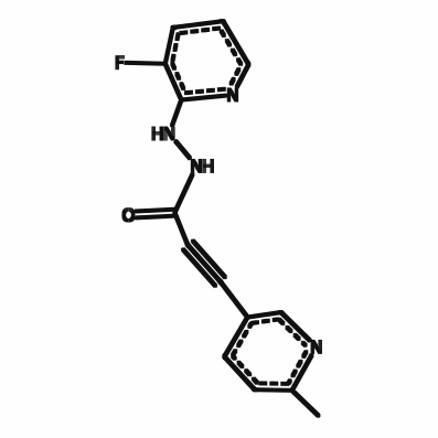 Cc1ccc(C#CC(=O)NNc2ncccc2F)cn1